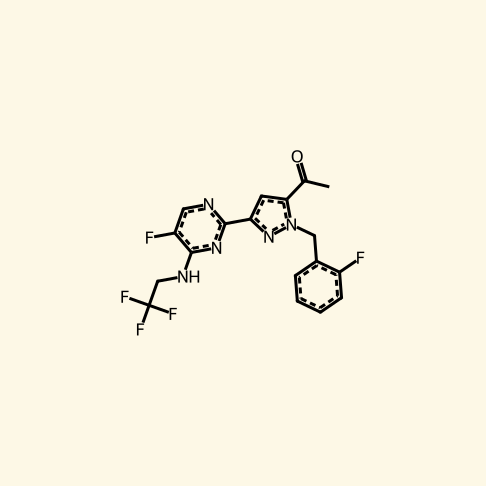 CC(=O)c1cc(-c2ncc(F)c(NCC(F)(F)F)n2)nn1Cc1ccccc1F